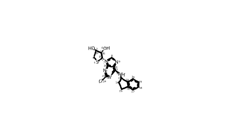 O[C@@H]1[C@H](O)CS[C@H]1n1cnc2c(NC3CCc4ccccc43)nc(Cl)nc21